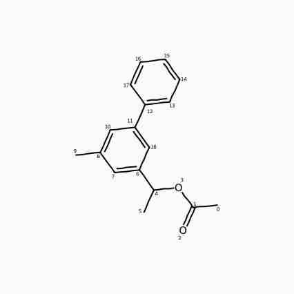 CC(=O)OC(C)c1cc(C)cc(-c2ccccc2)c1